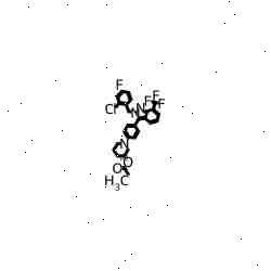 CCC(=O)O[C@@H]1CCCN(c2ccc(-c3c4cccc(C(F)(F)F)c4nn3Cc3ccc(F)cc3Cl)cc2)C1